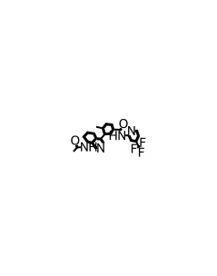 CC(=O)Nc1cccc2c(-c3cc(C(=O)Nc4cc(C(F)(F)F)ccn4)ccc3C)cncc12